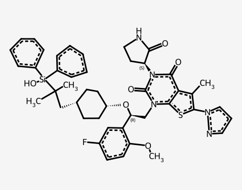 COc1ccc(F)cc1[C@H](Cn1c(=O)n([C@H]2CCNC2=O)c(=O)c2c(C)c(-n3cccn3)sc21)O[C@H]1CC[C@@H](CC(C)(C)[Si](O)(c2ccccc2)c2ccccc2)CC1